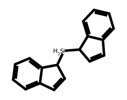 C1=CC([SiH2]C2C=Cc3ccccc32)c2ccccc21